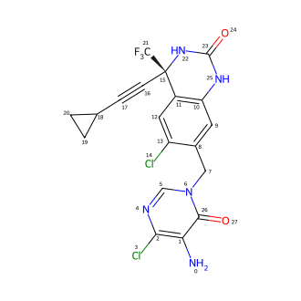 Nc1c(Cl)ncn(Cc2cc3c(cc2Cl)[C@@](C#CC2CC2)(C(F)(F)F)NC(=O)N3)c1=O